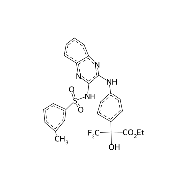 CCOC(=O)C(O)(c1ccc(Nc2nc3ccccc3nc2NS(=O)(=O)c2cccc(C)c2)cc1)C(F)(F)F